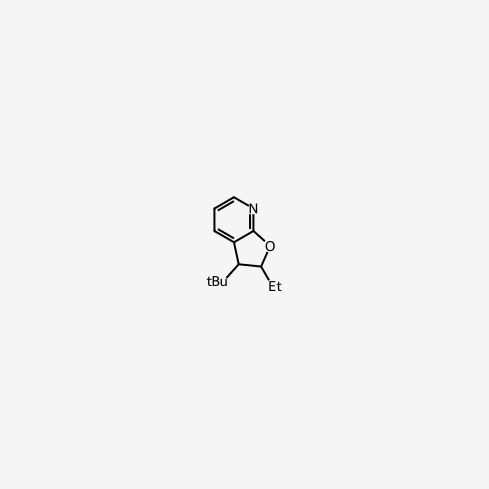 CCC1Oc2ncccc2C1C(C)(C)C